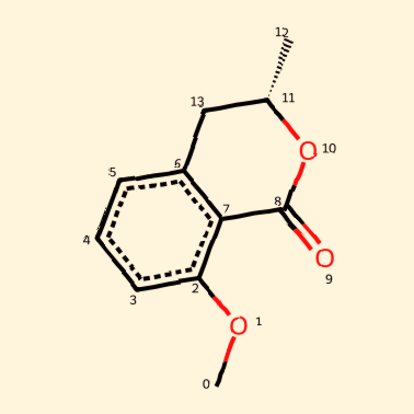 COc1cccc2c1C(=O)O[C@@H](C)C2